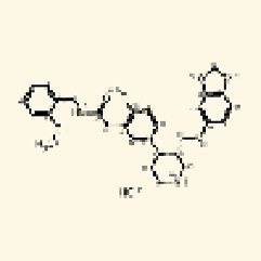 COc1ccccc1CNC(=O)Cc1cc([C@@H]2CCNC[C@H]2COc2ccc3c(c2)OCO3)ccc1F.Cl